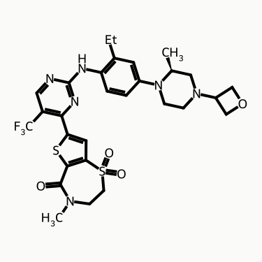 CCc1cc(N2CCN(C3COC3)C[C@@H]2C)ccc1Nc1ncc(C(F)(F)F)c(-c2cc3c(s2)C(=O)N(C)CCS3(=O)=O)n1